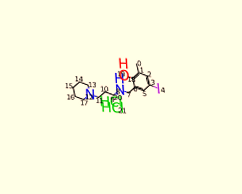 Cc1cc(I)cc(CNCCCN2CCCCC2)c1O.Cl.Cl